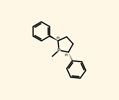 CP1[C@@H](c2ccccc2)CC[C@@H]1c1ccccc1